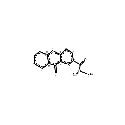 CCCCN(CCCC)C(=O)c1ccc2sc3ccccc3c(=O)c2c1